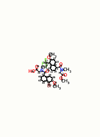 COC(=O)CN(C)C(=O)c1cccc2c(C(F)(F)F)c(OC)ccc12.COc1ccc2c(C(=O)N(C)CC(=O)O)cccc2c1Br